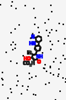 CCc1c(-c2ccc3c4c([nH]c3c2)C(N(C)C)CCC4)[nH]c(=O)c(C(=O)O)c1O